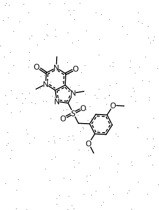 COc1ccc(OC)c(CS(=O)(=O)c2nc3c(c(=O)n(C)c(=O)n3C)n2C)c1